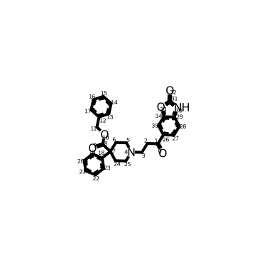 O=C(CCN1CCC(C(=O)OCc2ccccc2)(c2ccccc2)CC1)c1ccc2[nH]c(=O)oc2c1